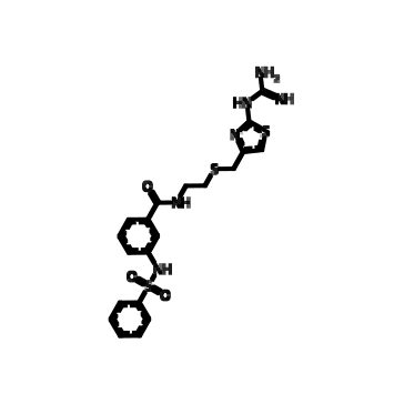 N=C(N)Nc1nc(CSCCNC(=O)c2cccc(NS(=O)(=O)c3ccccc3)c2)cs1